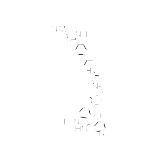 CN/C=N\C(=N)c1ccc(C2=CCN(C(=O)CN3CC[C@]4(CCN(c5ccc(N)c(C(=N)c6cnccc6C(F)(F)F)c5)C4=O)C3)CC2)cc1